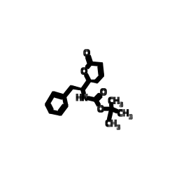 CC(C)(C)OC(=O)N[C@@H](Cc1ccccc1)[C@@H]1CC=CC(=O)O1